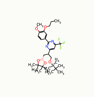 CCCOc1cc(-c2nc(C(CO[Si](C)(C)C(C)(C)C)CB3OC(C)(C)C(C)(C)O3)cc(C(F)(F)F)n2)ccc1OC